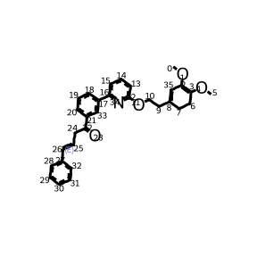 COC1=C(OC)CCC(CCOc2cccc(-c3cccc(C(=O)C/C=C/c4ccccc4)c3)n2)=C1